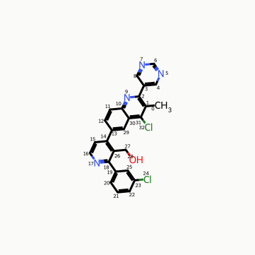 Cc1c(-c2cncnc2)nc2ccc(-c3ccnc(-c4cccc(Cl)c4)c3CO)cc2c1Cl